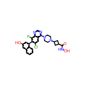 O=C(NO)C1CC(N2CCN(c3ncnc4c(F)c(-c5cc(O)cc6ccccc56)c(Cl)cc34)CC2)C1